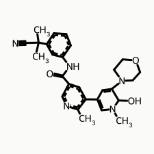 Cc1ncc(C(=O)Nc2cccc(C(C)(C)C#N)c2)cc1C1=CN(C)C(O)C(N2CCOCC2)=C1